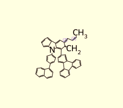 C=c1c(-c2ccc3c4ccccc4c4ccccc4c3c2)c2c(c/c1=C/C=C\C)c1ccccc1n2-c1ccc(-c2cccc3ccccc23)cc1